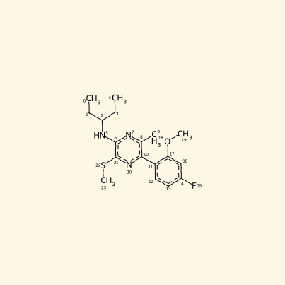 CCC(CC)Nc1nc(C)c(-c2ccc(F)cc2OC)nc1SC